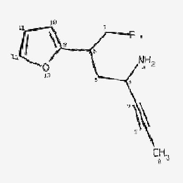 CC#CC(N)CC(CF)c1ccco1